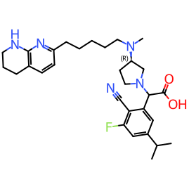 CC(C)c1cc(F)c(C#N)c(C(C(=O)O)N2CC[C@@H](N(C)CCCCCc3ccc4c(n3)NCCC4)C2)c1